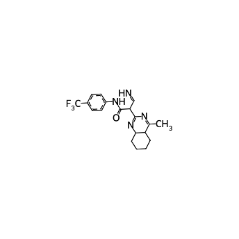 CC1=NC(C(C=N)C(=O)Nc2ccc(C(F)(F)F)cc2)=NC2CCCCC12